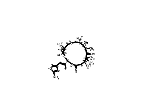 Cc1nc(C=C(F)[C@@H]2C[C@@H]3O[C@]3(C)CCC[C@H](C)[C@H](O)[C@@H](C)C(=O)C(C)(C)[C@@H](O)CC(=O)O2)co1